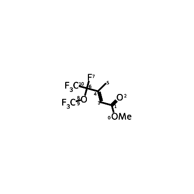 COC(=O)/C=C(\C)C(F)(OC(F)(F)F)C(F)(F)F